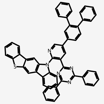 c1ccc(-c2nc(-c3ccccc3)nc(-c3cc(-c4ccc(-c5ccccc5)c(-c5ccccc5)c4)cnc3-n3c4ccccc4c4cc5sc6ccccc6c5cc43)n2)cc1